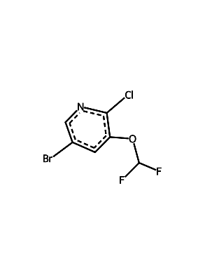 FC(F)Oc1cc(Br)cnc1Cl